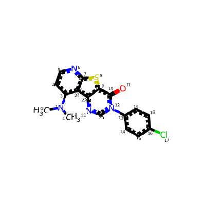 CN(C)c1ccnc2sc3c(=O)n(-c4ccc(Cl)cc4)cnc3c12